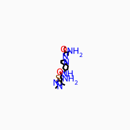 COC1CN(c2ccc3c(n2)CCC(NC(=O)c2sc4nc(C)nc(C)c4c2N)C3)CC1N